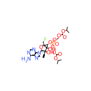 C#C[C@]1(O)[C@H](n2cnc3c(N)ncnc32)O[C@]2(CF)C(OP(=O)(OCOC(=O)OC(C)C)OCOC(=O)OC(C)C)[C@@]21O